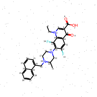 CCn1cc(C(=O)O)c(=O)c2cc(F)c(N3CCN(Cc4cccc5ccccc45)C(C)C3)c(F)c21